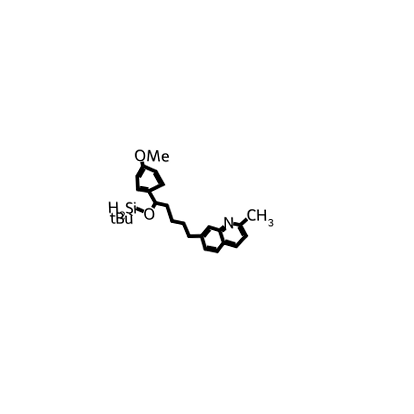 COc1ccc(C(CCCCc2ccc3ccc(C)nc3c2)O[SiH2]C(C)(C)C)cc1